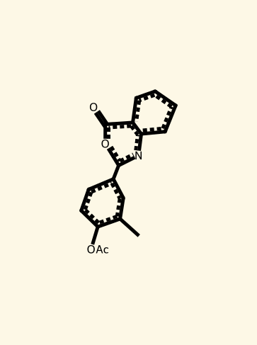 CC(=O)Oc1ccc(-c2nc3ccccc3c(=O)o2)cc1C